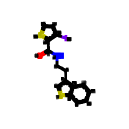 O=C(NCCc1csc2ccccc12)c1sccc1I